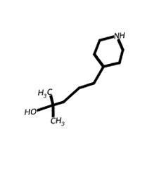 CC(C)(O)CCCC1CCNCC1